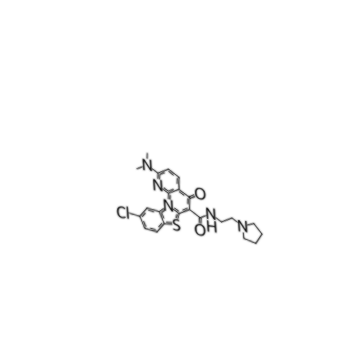 CN(C)c1ccc2c(=O)c(C(=O)NCCN3CCCC3)c3sc4ccc(Cl)cc4n3c2n1